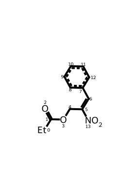 CCC(=O)OCC(=Cc1ccccc1)[N+](=O)[O-]